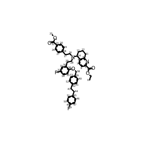 CCOC(=O)c1ccc2c(n1)CCCC2N(CCc1ccc(C(=O)OC)cc1)CCc1cc(F)ccc1OCc1ccc(CCc2ccc(F)cc2)cc1